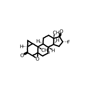 C[C@]12CC[C@H]3[C@@H](CCC45OC4C(=O)[C@H]4CC4[C@]35C)[C@@H]1C[C@@H](F)C2=O